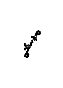 CCOC(=O)C(CCc1ccccc1)CNCCCCNC(=O)OCc1ccccc1